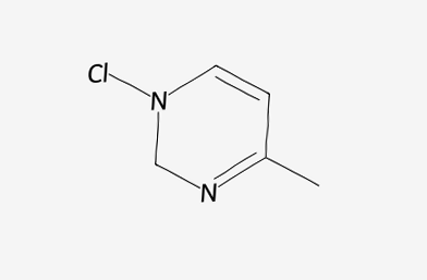 CC1=NCN(Cl)C=C1